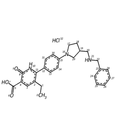 CCc1cc(C(=O)O)c(=O)[nH]c1-c1ccc(N2CCC(CNCc3ccccc3)C2)cc1.Cl